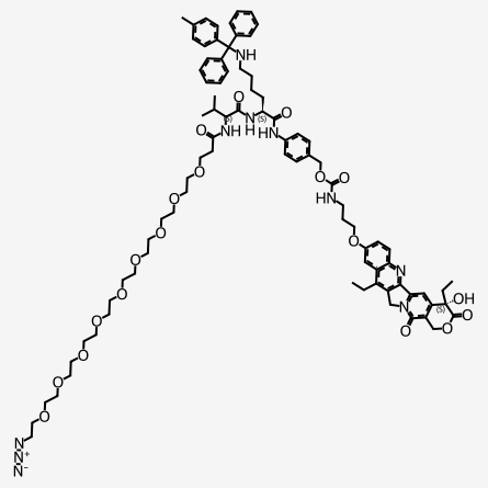 CCc1c2c(nc3ccc(OCCCNC(=O)OCc4ccc(NC(=O)[C@H](CCCCNC(c5ccccc5)(c5ccccc5)c5ccc(C)cc5)NC(=O)[C@@H](NC(=O)CCOCCOCCOCCOCCOCCOCCOCCOCCOCCN=[N+]=[N-])C(C)C)cc4)cc13)-c1cc3c(c(=O)n1C2)COC(=O)[C@]3(O)CC